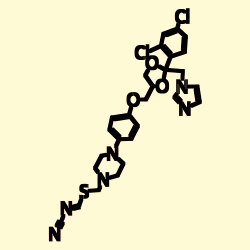 N#CN=CSCN1CCN(c2ccc(OCC3COC(Cn4ccnc4)(c4ccc(Cl)cc4Cl)O3)cc2)CC1